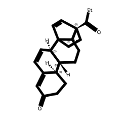 CCC(=O)[C@@]12C=CC3(CC1)[C@@H]1C=CC4=CC(=O)CC[C@@H]4[C@H]1CC[C@@]32C